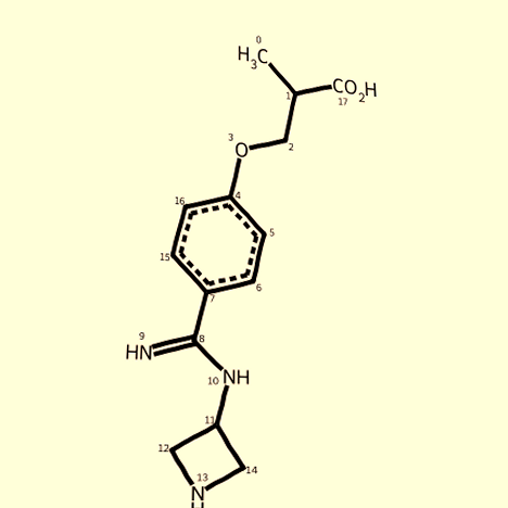 CC(COc1ccc(C(=N)NC2CNC2)cc1)C(=O)O